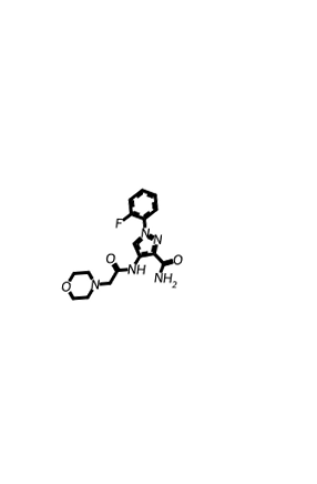 NC(=O)c1nn(-c2ccccc2F)cc1NC(=O)CN1CCOCC1